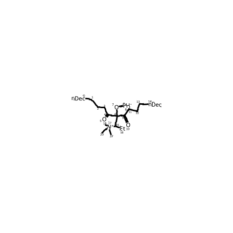 CCCCCCCCCCCCCC(=O)C(O[PH-])(C(=O)CCCCCCCCCCCCC)C(CC)[N+](C)(C)C